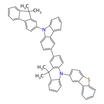 CC1(C)c2ccccc2-c2ccc(-n3c4ccccc4c4cc(-c5ccc6c(c5)C(C)(C)c5ccccc5N6c5ccc6sc7ccccc7c6c5)ccc43)cc21